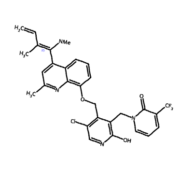 C=C/C(C)=C(\NC)c1cc(C)nc2c(OCc3c(Cl)cnc(O)c3Cn3cccc(C(F)(F)F)c3=O)cccc12